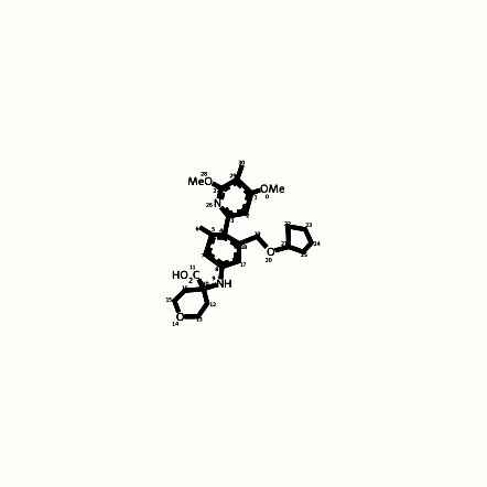 COc1cc(-c2c(C)cc(NC3(C(=O)O)CCOCC3)cc2COC2CCCC2)nc(OC)c1C